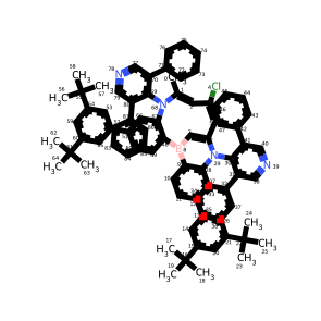 C/C1=C\C(Cl)=C/C2=CB(c3ccc(-c4cc(C(C)(C)C)cc(C(C)(C)C)c4)cc3N2c2c(-c3ccccc3)cncc2-c2ccccc2)c2ccc(-c3cc(C(C)(C)C)cc(C(C)(C)C)c3)cc2N1c1c(-c2ccccc2)cncc1-c1ccccc1